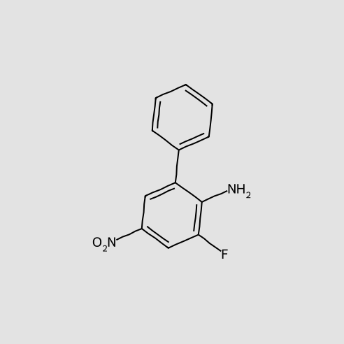 Nc1c(F)cc([N+](=O)[O-])cc1-c1ccccc1